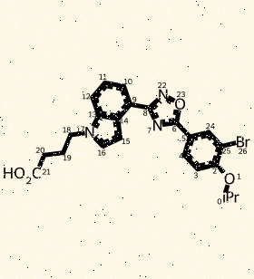 CC(C)Oc1ccc(-c2nc(-c3cccc4c3ccn4CCCC(=O)O)no2)cc1Br